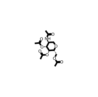 CC(=O)N[C@H]1CO[C@H](COC(C)=O)[C@H](OC(C)=O)[C@@H]1OC(C)=O